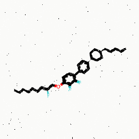 CCCCCCC[C@H](F)COc1ccc(-c2ccc([C@H]3CC[C@H](CCCCC)CC3)cc2)c(F)c1F